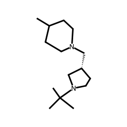 CC1CCN(C[C@@H]2CCN(C(C)(C)C)C2)CC1